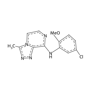 COc1ccc(Cl)cc1Nc1nccn2c(C)nnc12